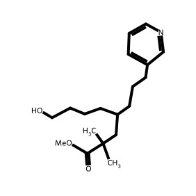 COC(=O)C(C)(C)CC(CCCCO)CCCc1cccnc1